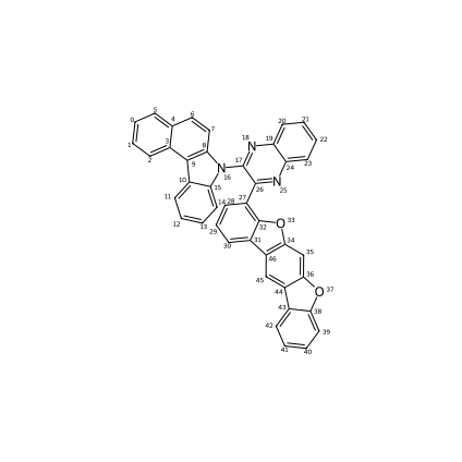 c1ccc2c(c1)ccc1c2c2ccccc2n1-c1nc2ccccc2nc1-c1cccc2c1oc1cc3oc4ccccc4c3cc12